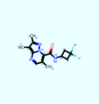 Cc1cnc2c(C#N)c(C)nn2c1C(=O)NC1CC(F)(F)C1